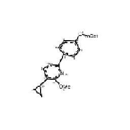 CCCCCCCCOc1ccc(-c2ncc(C3CC3)c(OC)n2)cc1